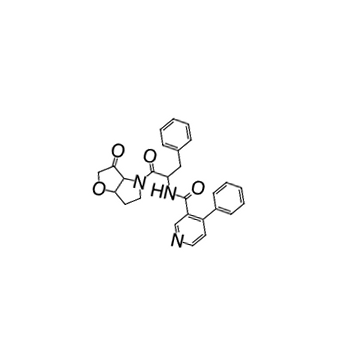 O=C(NC(Cc1ccccc1)C(=O)N1CCC2OCC(=O)C21)c1cnccc1-c1ccccc1